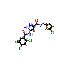 O=C(NCc1ccc(Cl)s1)c1cc(NC(=O)c2cc(F)c(F)cc2Cl)[nH]n1